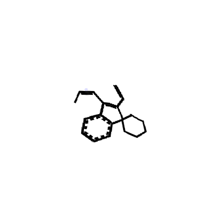 C=CC1=C(/C=C\C)c2ccccc2C12CCCCC2